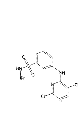 CC(C)NS(=O)(=O)c1cccc(Nc2nc(Cl)ncc2Cl)c1